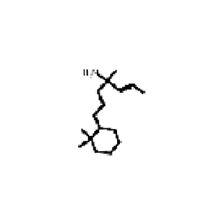 CC=CC(C)(N)CCCC1CCCCC1(C)C